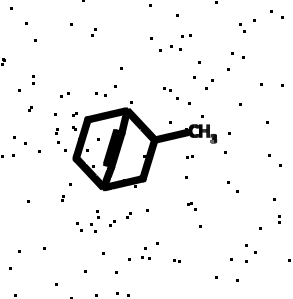 CC1CC2C=CC1CC2